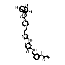 C=CC(=O)Nc1cccc(CNc2nc(Nc3cnn(CCN4CCN(C(=O)CC5[C@H]6C[C@@H]7C[C@@H](C[C@H]5C7)C6)CC4)c3)ncc2Cl)c1